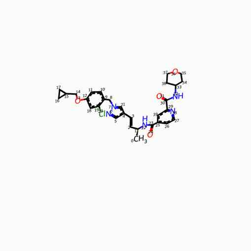 C[C@@H](/C=C/c1cnn(Cc2ccc(OCC3CC3)cc2Cl)c1)NC(=O)c1ccnc(C(=O)NC2CCOCC2)c1